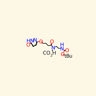 CC(C)(C)OC(=O)NCCN(CC(=O)O)C(=O)CCCOc1ccc(=O)[nH]n1